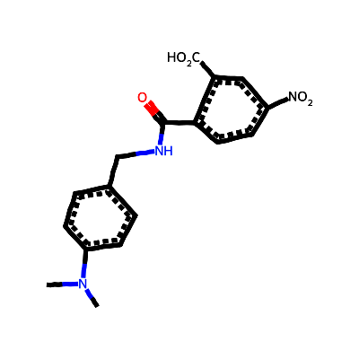 CN(C)c1ccc(CNC(=O)c2ccc([N+](=O)[O-])cc2C(=O)O)cc1